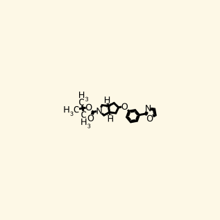 CC(C)(C)OC(=O)N1C[C@H]2CC(Oc3cccc(-c4ncco4)c3)C[C@H]2C1